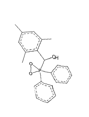 Cc1cc(C)c(C(O)P2(c3ccccc3)(c3ccccc3)OO2)c(C)c1